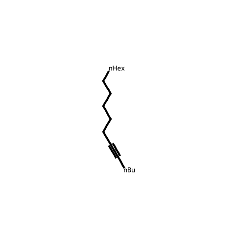 [CH2]CCCC#CCCCCCCCCCC[CH2]